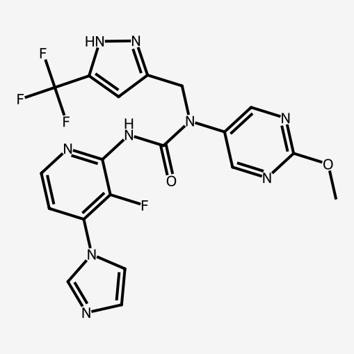 COc1ncc(N(Cc2cc(C(F)(F)F)[nH]n2)C(=O)Nc2nccc(-n3ccnc3)c2F)cn1